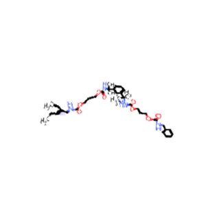 C=C/C=C(\C=C)CNC(=O)OCCCOC(=O)NC(C)(C)c1cccc(C(C)(C)NC(=O)OCCCOC(=O)NCc2ccccc2)c1